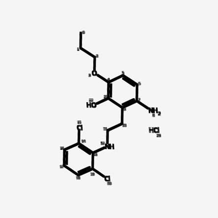 CCCOc1ccc(N)c(CCNc2c(Cl)cccc2Cl)c1O.Cl